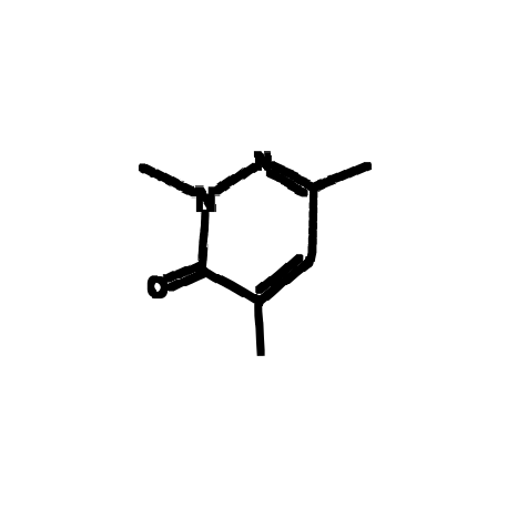 Cc1cc(C)c(=O)n(C)n1